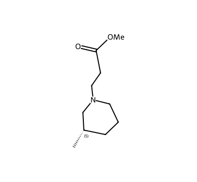 COC(=O)CCN1CCC[C@H](C)C1